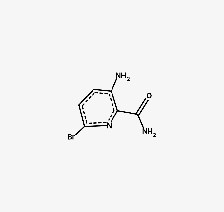 NC(=O)c1nc(Br)ccc1N